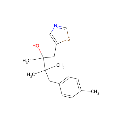 Cc1ccc(CC(C)(C)C(C)(O)Cc2cncs2)cc1